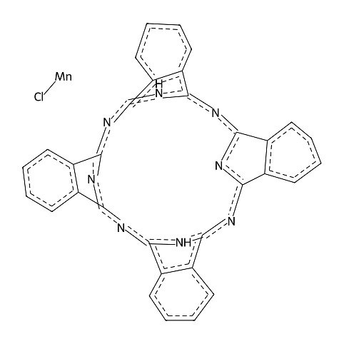 [Cl][Mn].c1ccc2c(c1)-c1nc-2nc2[nH]c(nc3nc(nc4[nH]c(n1)c1ccccc41)-c1ccccc1-3)c1ccccc21